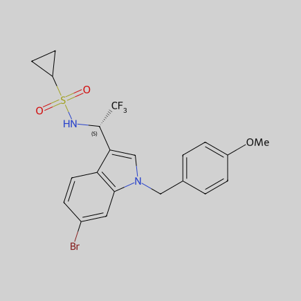 COc1ccc(Cn2cc([C@H](NS(=O)(=O)C3CC3)C(F)(F)F)c3ccc(Br)cc32)cc1